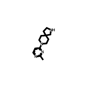 Cc1nccc(N2CCC3(CCNC3)CC2)n1